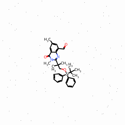 Cc1cc(C=O)c2nc(C(C)(C)CO[Si](c3ccccc3)(c3ccccc3)C(C)(C)C)n(C)c(=O)c2c1